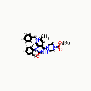 CC1=CC2=C(N3CCN(C(=O)OC(C)(C)C)CC3)NC(=O)N(c3ccccc3C(C)C)C2=CN1Cc1ccccc1